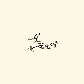 COc1ccc(F)cc1C(=O)NCc1ccc(-c2nn(C3CC(C)(O)C3)c(N)c2C#N)c2cnn(COCC[Si](C)(C)C)c12